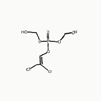 O=P(OC=C(Cl)Cl)(OCO)OCO